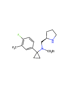 CCOC(=O)N(C[C@H]1CCCN1)C1(c2ccc(F)c(C(F)(F)F)c2)CC1